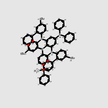 CC(C)(C)c1ccc2c(c1)B1c3ccc(C(C)(C)c4ccccc4)cc3N(c3ccc(C(C)(C)C)cc3-c3ccccc3)c3cc(N(c4ccccc4)c4ccccc4)cc(c31)N2c1ccc(C(C)(C)C)cc1-c1ccccc1